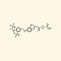 C[C@H](Oc1ccc(COc2ccc3c(c2)OCC(CN[C@H]2C[C@@H](C(=O)O)C2)=C3)cc1C(F)(F)F)C(F)(F)F